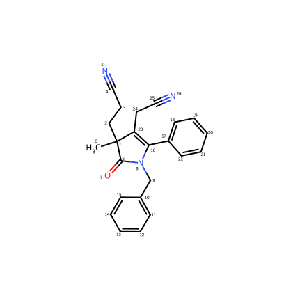 CC1(CCC#N)C(=O)N(Cc2ccccc2)C(c2ccccc2)=C1CC#N